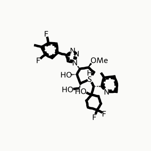 CO[C@H]1C[SH]([C@H](c2ncccc2C)C2(O)CCC(F)(F)CC2)[C@H](CO)[C@H](O)[C@@H]1n1cc(-c2cc(F)c(C)c(F)c2)nn1